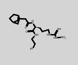 CC(C)CCNC(=O)[C@H](CCCNC(=N)N[N+](=O)[O-])NC(=O)CC1CC2CCC1C2